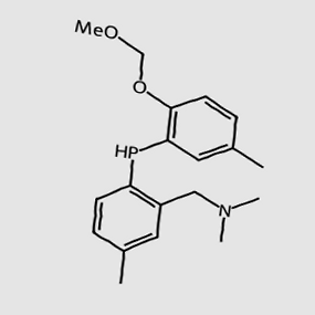 COCOc1ccc(C)cc1Pc1ccc(C)cc1CN(C)C